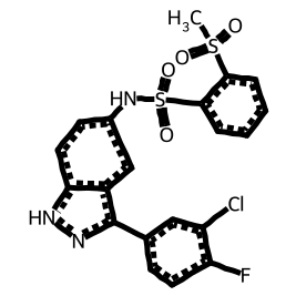 CS(=O)(=O)c1ccccc1S(=O)(=O)Nc1ccc2[nH]nc(-c3ccc(F)c(Cl)c3)c2c1